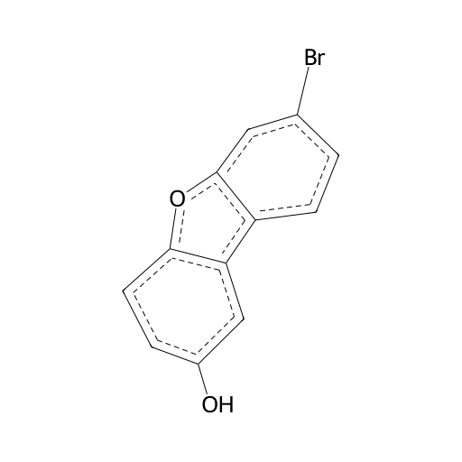 Oc1ccc2oc3cc(Br)ccc3c2c1